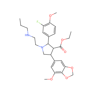 CCCNCCN1CC(c2cc(OC)c3c(c2)OCO3)C(C(=O)OCC)C1c1ccc(OC)c(F)c1